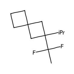 CC(C)C1(C(C)(F)F)CC2(CCC2)C1